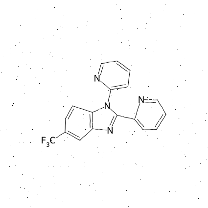 FC(F)(F)c1ccc2c(c1)nc(-c1ccccn1)n2-c1ccccn1